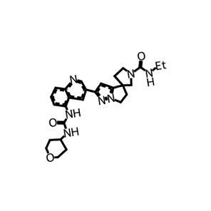 CCNC(=O)N1CCC2(CCn3nc(-c4cnc5cccc(NC(=O)NC6CCOCC6)c5c4)cc32)C1